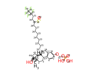 C[C@]12CCC3c4ccc(OCOP(=O)(O)O)cc4C[C@@H](CCCCCCCCCC(CCC(F)(F)C(F)(F)F)[S+]=O)[C@H]3[C@@H]1CC[C@@H]2O